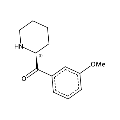 COc1cccc(C(=O)[C@@H]2CCCCN2)c1